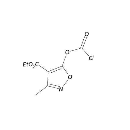 CCOC(=O)c1c(C)noc1OC(=O)Cl